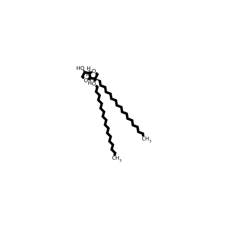 CCCCCCCCCCCCCCCCCCO[C@@]1(CCCCCCCCCCCCCCCCCC)CO[C@@H]2[C@H](O)CO[C@@H]21